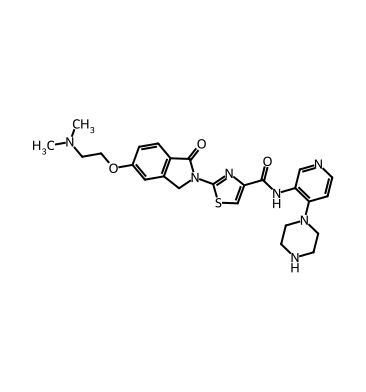 CN(C)CCOc1ccc2c(c1)CN(c1nc(C(=O)Nc3cnccc3N3CCNCC3)cs1)C2=O